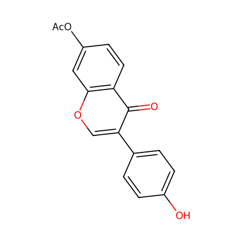 CC(=O)Oc1ccc2c(=O)c(-c3ccc(O)cc3)coc2c1